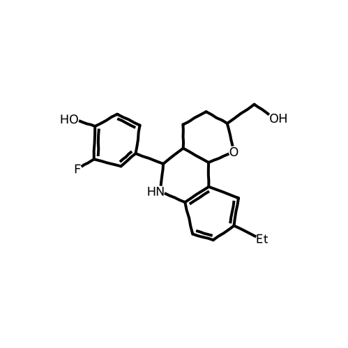 CCc1ccc2c(c1)C1OC(CO)CCC1C(c1ccc(O)c(F)c1)N2